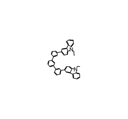 CCn1c2ccccc2c2cc(-c3cccc(-c4cccc(-c5cccc(-c6ccc7c(c6)c6ccccc6n7CC)c5)c4)c3)ccc21